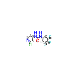 O=C(Nc1ccnc(Cl)c1)Nc1cc(F)c(F)c(F)c1